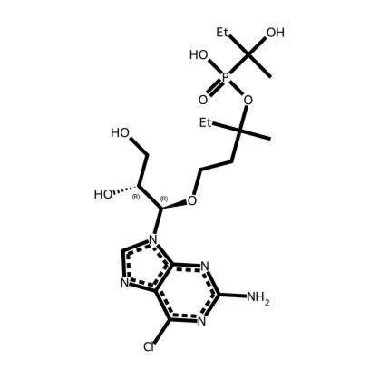 CCC(C)(CCO[C@H]([C@H](O)CO)n1cnc2c(Cl)nc(N)nc21)OP(=O)(O)C(C)(O)CC